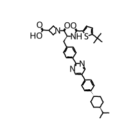 CC(C)[C@H]1CC[C@H](c2ccc(-c3cnc(-c4ccc(C[C@H](NC(=O)c5ccc(C(C)(C)C)s5)C(=O)N5CC(C(=O)O)C5)cc4)nc3)cc2)CC1